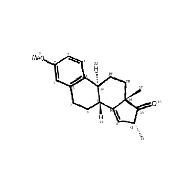 COc1ccc2c(c1)CC[C@H]1C3=C[C@@H](C)C(=O)[C@@]3(C)CC[C@H]21